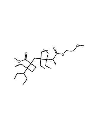 CCC(CC)C1(CC)CCC1(CC(CC)(CC)C(CC)(CC)C(C)C(=O)OCCOC)C(=O)OC